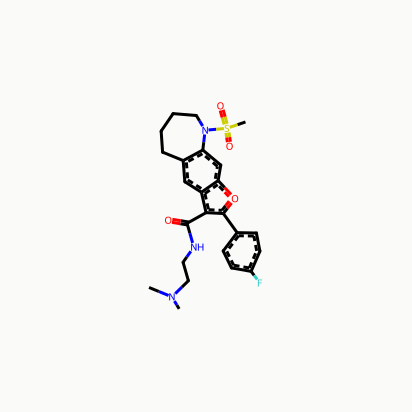 CN(C)CCNC(=O)c1c(-c2ccc(F)cc2)oc2cc3c(cc12)CCCCN3S(C)(=O)=O